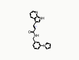 O=C(/C=C/c1c[nH]c2ncccc12)NCc1cccc(-n2cccc2)c1